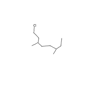 CCC(C)CCC(C)CCCl